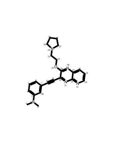 CN(C)c1cccc(C#Cc2nc3ncccc3nc2OCCN2CCCC2)c1